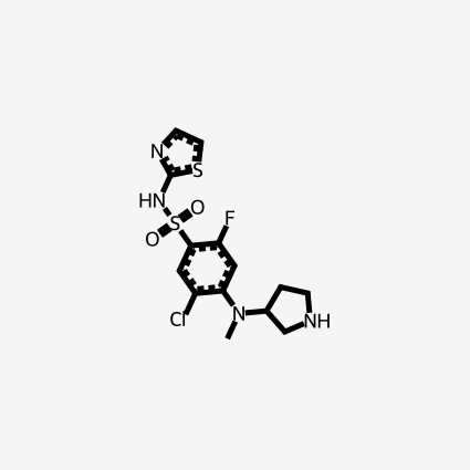 CN(c1cc(F)c(S(=O)(=O)Nc2nccs2)cc1Cl)C1CCNC1